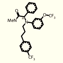 CNC(=O)[C@@H](c1ccccc1)N(CCCc1ccc(C(F)(F)F)cc1)c1cccc(OC(F)(F)F)c1